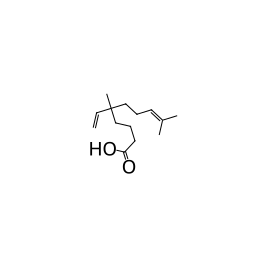 C=CC(C)(CCC=C(C)C)CCCC(=O)O